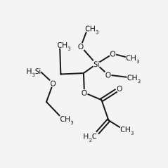 C=C(C)C(=O)OC(CC)[Si](OC)(OC)OC.CCO[SiH3]